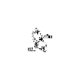 CC(C)(C)c1cc2c3c(c1)c1cc4cc5c6cc7c(cc6n3c51)c1cc(cc3c5cc(C(C)(C)C)cc(c5n7c13)-c1ccc3c(c1)c1ccccc1n3-c1cccc(c1)C4(C)C)C(C)(C)c1cccc(c1)-n1c3ccccc3c3cc-2ccc31